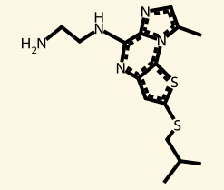 Cc1cnc2c(NCCN)nc3cc(SCC(C)C)sc3n12